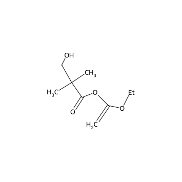 C=C(OCC)OC(=O)C(C)(C)CO